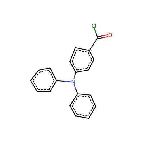 O=C(Cl)c1ccc(N(c2ccccc2)c2ccccc2)cc1